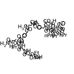 CCCO[C@H](C[C@H](C(C)C)N(CCC)C(=O)[C@@H](NC(=O)[C@H]1CCCCN1C)[C@@H](C)CC)c1nc(C(=O)NC(Cc2ccc(OC(=O)N(C)CCN(C)C(=O)OCc3ccc(NC(=O)[C@@H](CCCNC(N)=O)NC(=O)[C@H](NC(=O)CCNC(=O)OCC(OC)OC(CC)CO)C(C)C)cc3)cc2)C[C@H](C)C(=O)O)cs1